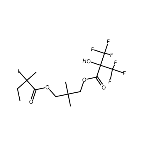 CCC(C)(I)C(=O)OCC(C)(C)COC(=O)C(O)(C(F)(F)F)C(F)(F)F